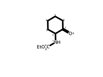 CCOC(=O)NC1CCCCC1=O